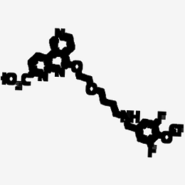 O=C(O)c1ccc2c(n1)nc(OCCOCCCCNCc1cc(F)c(OC(F)(F)F)c(F)c1)c1ccncc12